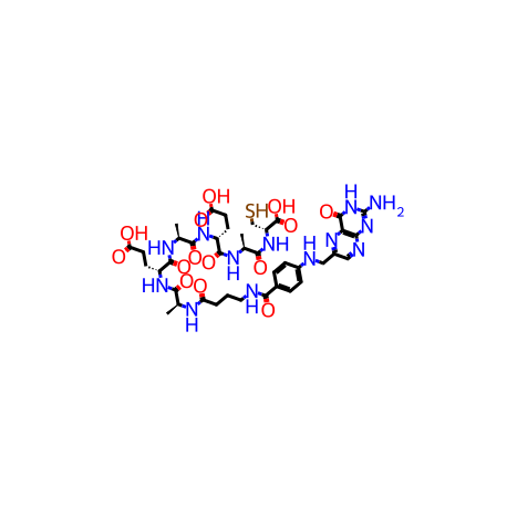 C[C@H](NC(=O)CCCNC(=O)c1ccc(NCc2cnc3nc(N)[nH]c(=O)c3n2)cc1)C(=O)N[C@H](CCC(=O)O)C(=O)N[C@@H](C)C(=O)N[C@H](CCC(=O)O)C(=O)N[C@@H](C)C(=O)N[C@H](CS)C(=O)O